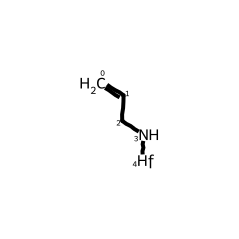 C=CC[NH][Hf]